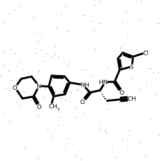 C#CC[C@@H](NC(=O)c1ccc(Cl)s1)C(=O)Nc1ccc(N2CCOCC2=O)c(C)c1